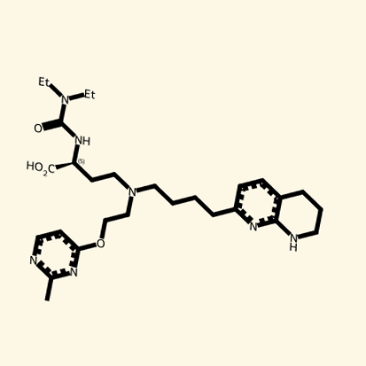 CCN(CC)C(=O)N[C@@H](CCN(CCCCc1ccc2c(n1)NCCC2)CCOc1ccnc(C)n1)C(=O)O